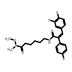 CON(C)C(=O)CCCCCNC(=O)C(=Cc1ccc(F)c(F)c1)c1ccc(F)cc1